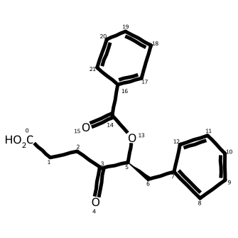 O=C(O)CCC(=O)[C@H](Cc1ccccc1)OC(=O)c1ccccc1